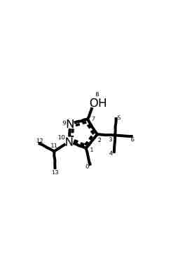 Cc1c(C(C)(C)C)c(O)nn1C(C)C